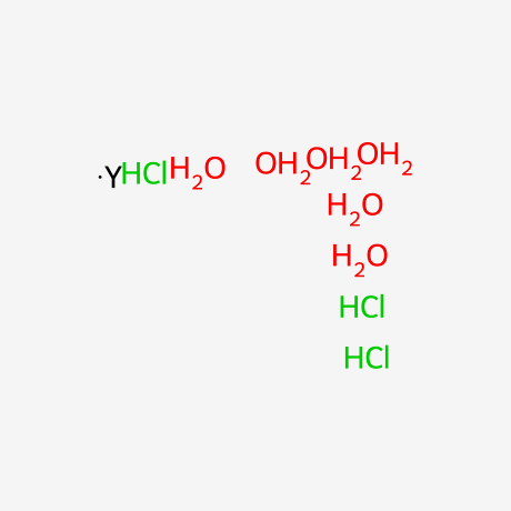 Cl.Cl.Cl.O.O.O.O.O.O.[Y]